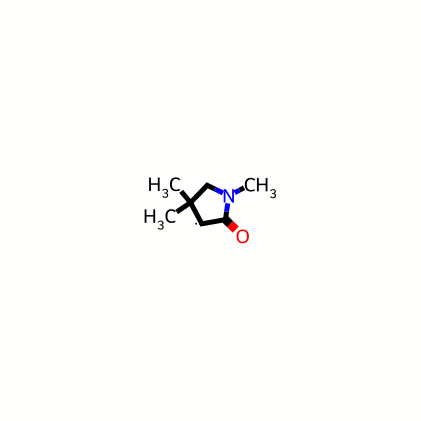 CN1CC(C)(C)[CH]C1=O